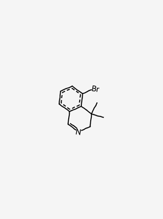 CC1(C)CN=Cc2cccc(Br)c21